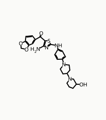 Nc1nc(Nc2ccc(N3CCC(N4CCCC(O)C4)CC3)cc2)sc1C(=O)c1ccc2c(c1)OCO2